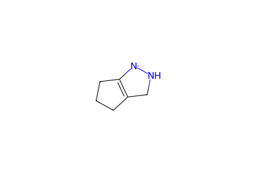 C1CC2=C(C1)[N]NC2